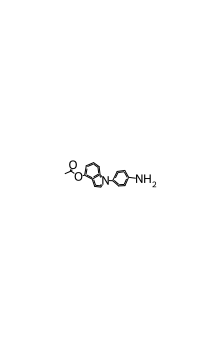 CC(=O)Oc1cccc2c1ccn2-c1ccc(N)cc1